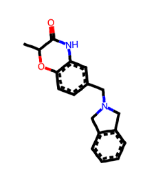 CC1Oc2ccc(CN3Cc4ccccc4C3)cc2NC1=O